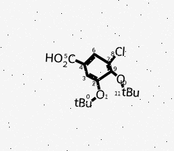 CC(C)(C)Oc1cc(C(=O)O)cc(Cl)c1OC(C)(C)C